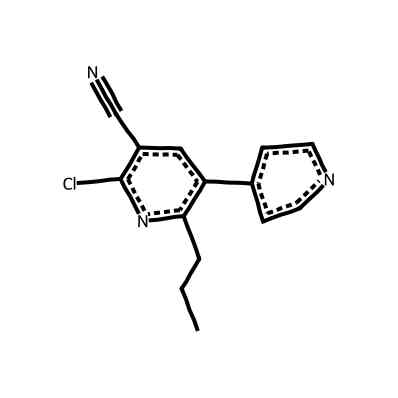 CCCc1nc(Cl)c(C#N)cc1-c1ccncc1